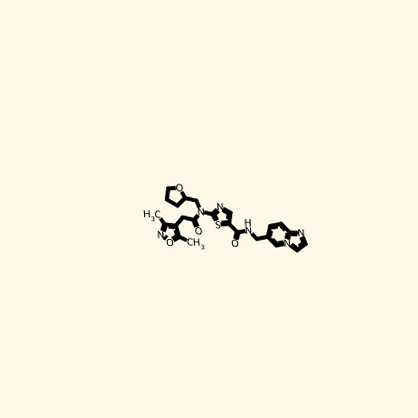 Cc1noc(C)c1CC(=O)N(CC1CCCO1)c1ncc(C(=O)NCc2ccc3nccn3c2)s1